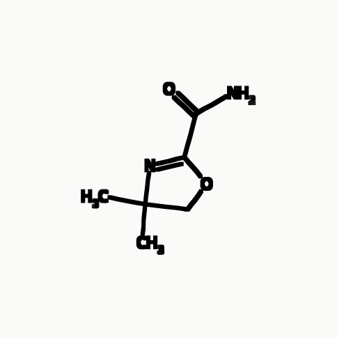 CC1(C)COC(C(N)=O)=N1